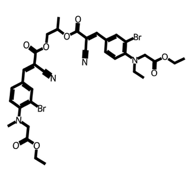 CCOC(=O)CN(C)c1ccc(/C=C(\C#N)C(=O)OCC(C)OC(=O)/C(C#N)=C/c2ccc(N(CC)CC(=O)OCC)c(Br)c2)cc1Br